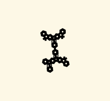 CC1(C)c2ccccc2-c2cc3c4cc5c(cc4n(-c4ccc(-c6ccc(-n7c8cc9c(cc8c8cc%10c(cc87)c7ccccc7n%10-c7ccccc7)-c7ccccc7C9(C)C)cc6)cc4)c3cc21)C(C)(C)c1ccccc1-5